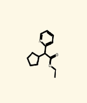 CCOC(=O)C(c1ccccn1)C1CCCC1